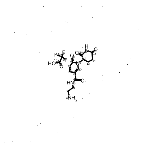 NCCNC(=O)c1ccc(=O)n(C2CCC(=O)NC2=O)c1.O=C(O)C(F)(F)F